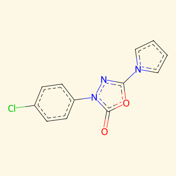 O=c1oc(-n2cccc2)nn1-c1ccc(Cl)cc1